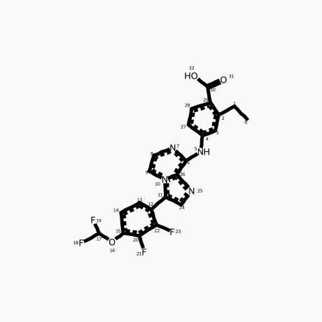 CCc1cc(Nc2nccn3c(-c4ccc(OC(F)F)c(F)c4F)cnc23)ccc1C(=O)O